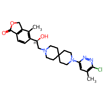 Cc1cc(N2CCC3(CCN(C[C@H](O)c4ccc5c(c4C)COC5=O)CC3)CC2)nnc1Cl